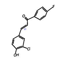 O=C(/C=C/c1ccc(O)c(Cl)c1)c1ccc(F)cc1